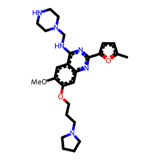 COc1cc2c(NCN3CCNCC3)nc(-c3ccc(C)o3)nc2cc1OCCCN1CCCC1